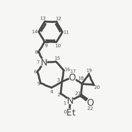 CCN1CC2(CCCN(Cc3ccccc3)CC2)OC2(CC2)C1=O